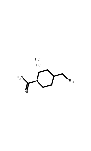 Cl.Cl.N=C(N)N1CCC(CN)CC1